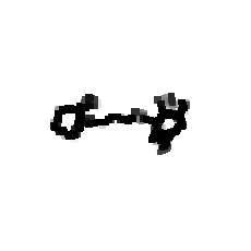 Nc1c(F)cc(F)cc1OCCCN1CCCC1=O